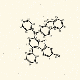 Brc1ccc2c(c1)oc1c(N(c3ccccc3)c3ccc4c(c3)sc3ccccc34)ccc(-c3ccccc3)c12